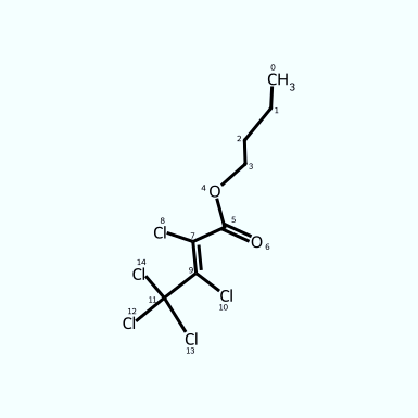 CCCCOC(=O)C(Cl)=C(Cl)C(Cl)(Cl)Cl